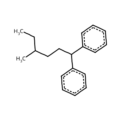 CCC(C)CCC(c1ccccc1)c1ccccc1